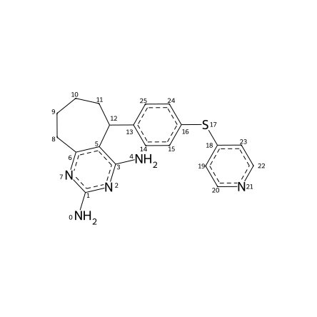 Nc1nc(N)c2c(n1)CCCCC2c1ccc(Sc2ccncc2)cc1